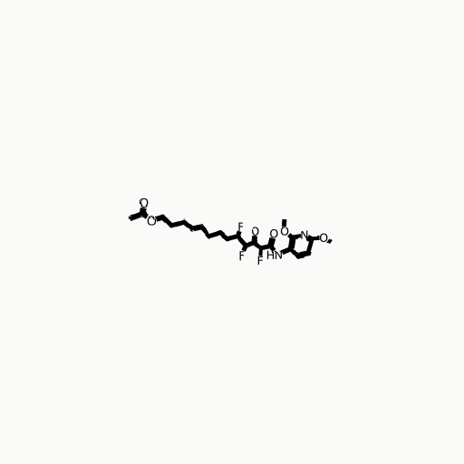 COc1ccc(NC(=O)C(F)C(=O)C(F)C(F)CCCCCCCCOC(C)=O)c(OC)n1